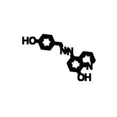 Oc1ccc(C/N=N/c2ccc(O)c3ncccc23)cc1